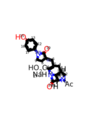 CC(=O)N1C[C@H]2CC(/C=C3\CCN(c4ccc(O)cc4)C3=O)=C(C(=O)O)N3C(=O)[C@@H]1[C@@H]23.[NaH]